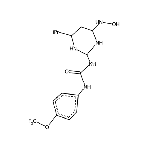 CC(C)C1CC(NO)NC(NC(=O)Nc2ccc(OC(F)(F)F)cc2)N1